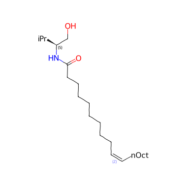 CCCCCCCC/C=C\CCCCCCCCC(=O)N[C@H](CO)C(C)C